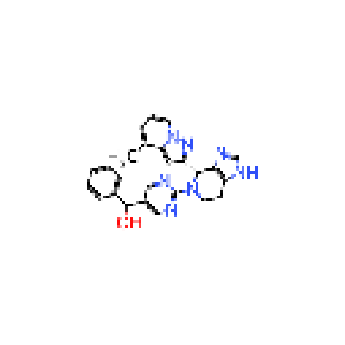 Cc1cccn2nc([C@@H]3c4nc[nH]c4CCN3c3ncc(C(O)c4ccccc4)cn3)cc12